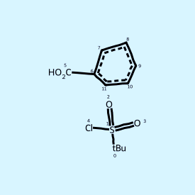 CC(C)(C)S(=O)(=O)Cl.O=C(O)c1ccccc1